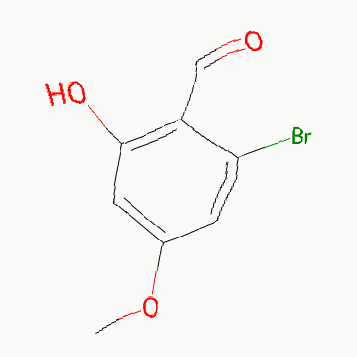 COc1cc(O)c(C=O)c(Br)c1